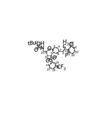 C/C(=C\c1ccc2c(c1)C(S(=O)(=O)c1cccc(C(F)(F)F)c1)CC(CNC(=O)OC(C)(C)C)O2)c1c(F)cccc1Cl